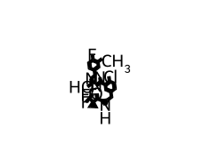 CCc1cc(-c2nc(O)nc(-c3cc(CC4NC4C(=O)C4(C(F)(F)F)CC4)ccc3Cl)n2)ccc1F